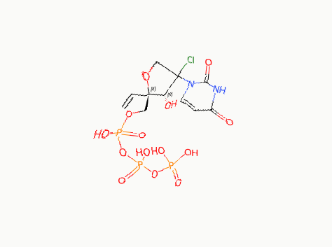 C=C[C@]1(COP(=O)(O)OP(=O)(O)OP(=O)(O)O)OCC(Cl)(n2ccc(=O)[nH]c2=O)[C@@H]1O